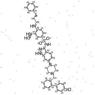 O=S(=O)(Nc1n[nH]c2cc(N3CCN(Cc4ccccc4-c4ccc(Cl)cc4)CC3)ccc12)c1ccc(NCCSc2ccccc2)c(NO)c1